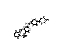 CN1CCN(c2ccc(Nc3ncc4c(n3)Nc3ccccc3NC4=O)cc2)CC1